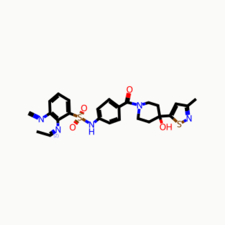 C=Nc1cccc(S(=O)(=O)Nc2ccc(C(=O)N3CCC(O)(c4cc(C)ns4)CC3)cc2)c1/N=C\C